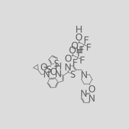 O=C(O)C(F)(F)F.O=C(O)C(F)(F)F.O=S(=O)(c1cccs1)N(CC1CC1)c1cccc2cc(-c3ncc(CN4CCC(Oc5ncccn5)CC4)s3)[nH]c12